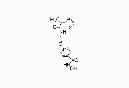 C=C(C(=O)NCCOc1ccc(C(=O)NO)cc1)c1cccs1